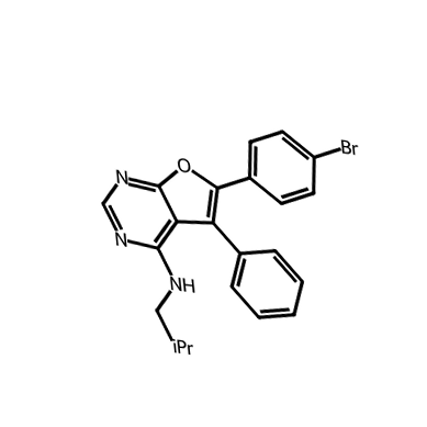 CC(C)CNc1ncnc2oc(-c3ccc(Br)cc3)c(-c3ccccc3)c12